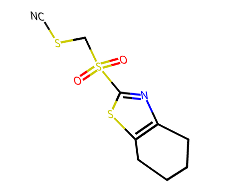 N#CSCS(=O)(=O)c1nc2c(s1)CCCC2